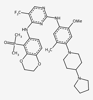 COc1cc(N2CCC(N3CCCC3)CC2)c(C)cc1Nc1ncc(C(F)(F)F)c(Nc2ccc3c(c2P(C)(C)=O)OCCO3)n1